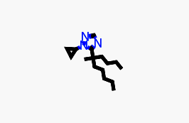 CCCCCC(C)(CCCC)c1ncnn1C1CC1